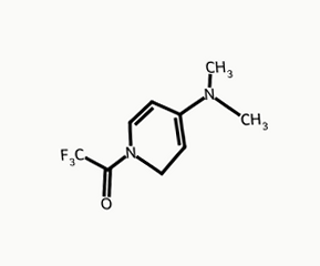 CN(C)C1=CCN(C(=O)C(F)(F)F)C=C1